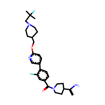 C=C(N)C1CCN(C(=O)c2ccc(-c3ccc(OCC4CCN(CC(C)(C)F)CC4)nc3)c(F)c2)CC1